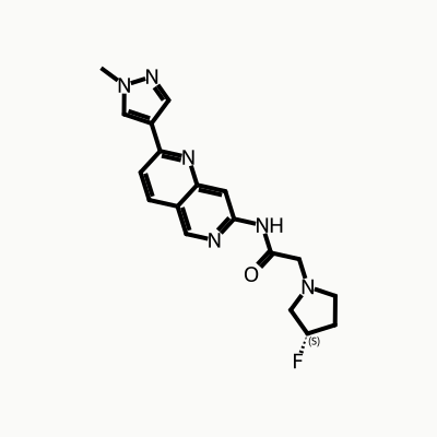 Cn1cc(-c2ccc3cnc(NC(=O)CN4CC[C@H](F)C4)cc3n2)cn1